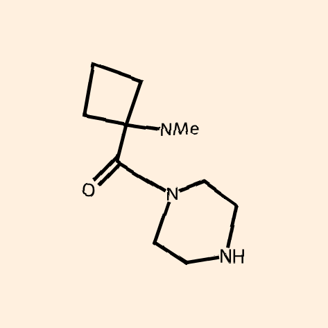 CNC1(C(=O)N2CCNCC2)CCC1